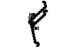 C/C=C\C/C=C\CCCCCCCCC(O)CNCCN(C)CCN(CC(O)CCCCCCCC/C=C\C/C=C\C)CC(O)CCCCCCCC/C=C\C/C=C\C